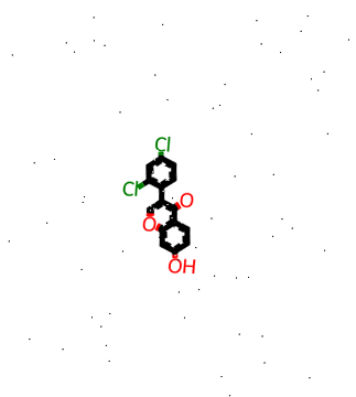 O=c1c(-c2ccc(Cl)cc2Cl)coc2cc(O)ccc12